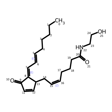 CCCCC/C=C/C=C1/C(=O)C=CC1C/C=C\CCCC(=O)NCCO